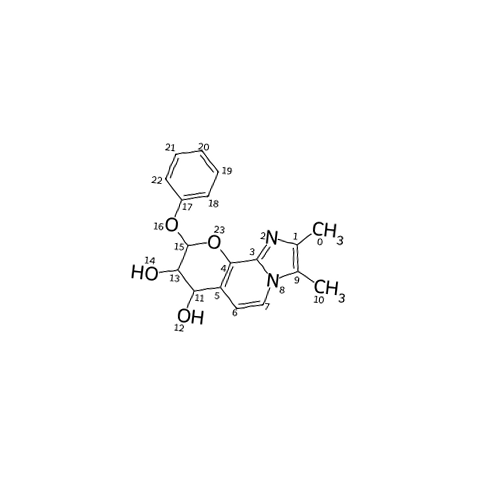 Cc1nc2c3c(ccn2c1C)C(O)C(O)C(Oc1ccccc1)O3